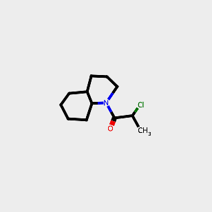 CC(Cl)C(=O)N1CCCC2CCCCC21